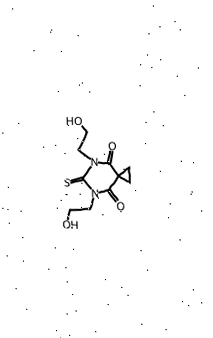 O=C1N(CCO)C(=S)N(CCO)C(=O)C12CC2